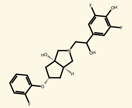 Oc1c(F)cc(C(O)CN2C[C@H]3C[C@H](Oc4ccccc4F)C[C@@]3(O)C2)cc1F